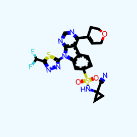 N#CC1(NS(=O)(=O)c2ccc3c4c(C5=CCOCC5)ncnc4n(-c4nnc(C(F)F)s4)c3c2)CC1